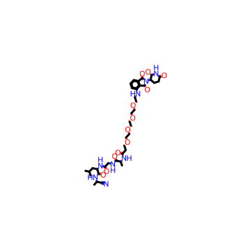 CC(C)CC(NC(=O)CNC(=O)C(C)NC(=O)CCOCCOCCOCCOCCNc1cccc2c1C(=O)N(C1CCC(=O)NC1=O)C2=O)C(=O)NC(C)C#N